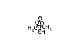 C#CC1(C)OC(=O)OC1C